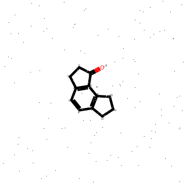 O=C1CCc2ccc3c(c21)CCC3